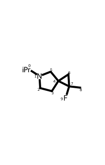 CC(C)N1CCC2(C1)CC2(C)F